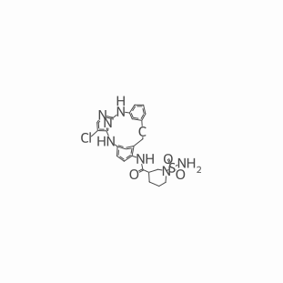 NS(=O)(=O)N1CCCC(C(=O)Nc2ccc3cc2CCc2cccc(c2)Nc2ncc(Cl)c(n2)N3)C1